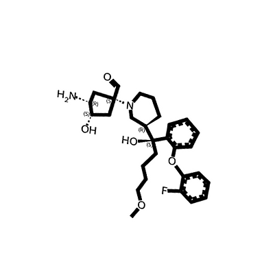 COCCCC[C@@](O)(c1ccccc1Oc1ccccc1F)[C@@H]1CCCN([C@@]2(C=O)C[C@@H](N)[C@@H](O)C2)C1